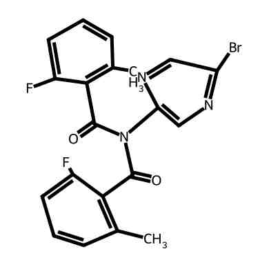 Cc1cccc(F)c1C(=O)N(C(=O)c1c(C)cccc1F)c1cnc(Br)cn1